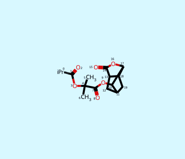 CC(C)C(=O)OC(C)(C)C(=O)OC1C2CC3C(=O)OC1C3C2